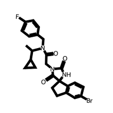 CC(C1CC1)N(Cc1ccc(F)cc1)C(=O)CN1C(=O)NC2(CCc3cc(Br)ccc32)C1=O